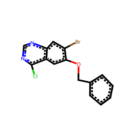 Clc1ncnc2cc(Br)c(OCc3ccccc3)cc12